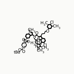 Cc1cc(OCCCc2c3n(c4c(-c5c(C)nn(C)c5C)c(Cl)ccc24)[C@H](C)CN(c2cn(C)c4ccc(S(=O)(=O)N5CCN(C(=O)OC(C)(C)C)CC5)cc24)C3=O)cc(C)c1Cl